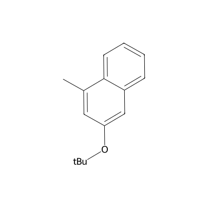 Cc1cc(OC(C)(C)C)cc2ccccc12